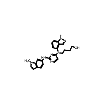 Cn1ncc2ccc(Nc3nccc(N(CCCCO)c4cccc5[nH]ncc45)n3)cc21